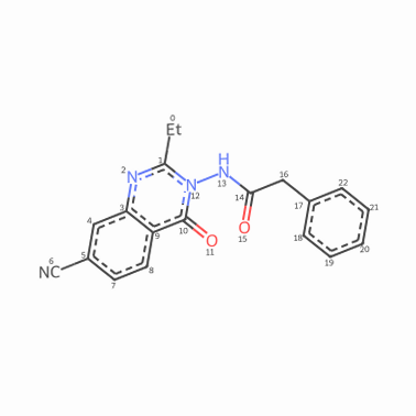 CCc1nc2cc(C#N)ccc2c(=O)n1NC(=O)Cc1ccccc1